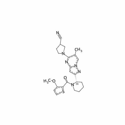 COc1ccsc1C(=O)N1CCCC[C@H]1c1cc2nc(N3CCC(C#N)C3)c(C)cn2n1